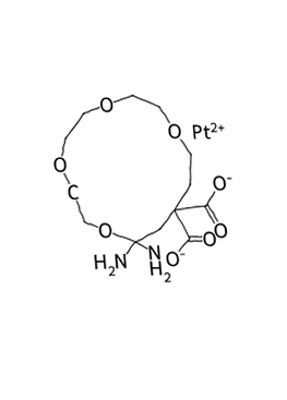 NC1(N)CC(C(=O)[O-])(C(=O)[O-])CCOCCOCCOCCO1.[Pt+2]